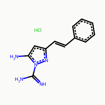 Cl.N=C(N)n1nc(/C=C/c2ccccc2)cc1N